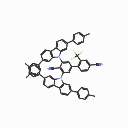 Cc1ccc(-c2ccc3c4ccc(-c5ccc(C)cc5)cc4n(-c4cc(-c5ccc(C#N)cc5C(F)(F)F)cc(-n5c6cc(-c7ccc(C)cc7)ccc6c6ccc(-c7ccc(C)cc7)cc65)c4C#N)c3c2)cc1